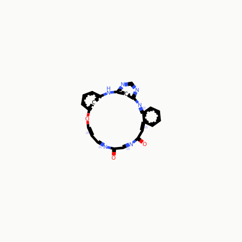 O=C1/C=N\C(=O)/C=c2/cccc/c2=N/c2cc(ncn2)Nc2cccc(c2)O/C=C\C=N/1